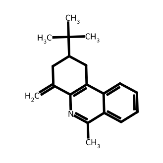 C=C1CC(C(C)(C)C)Cc2c1nc(C)c1ccccc21